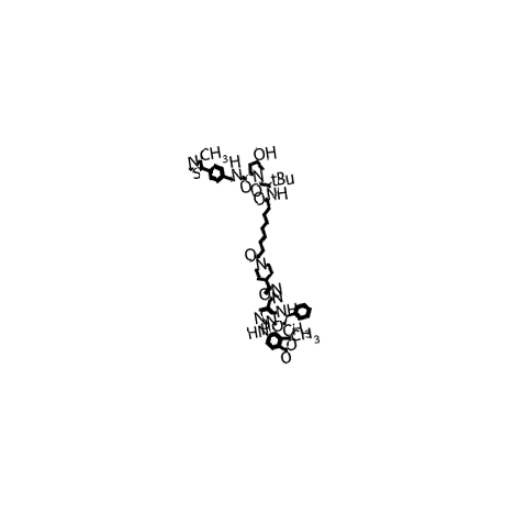 Cc1ncsc1-c1ccc(CNC(=O)[C@@H]2C[C@@H](O)CN2C(=O)[C@@H](NC(=O)CCCCCCCC(=O)N2CCC(c3nnc(-c4cnc(Nc5ccc6c(c5)C(C)(C)OC6=O)nc4N[C@H](CO)c4ccccc4)o3)CC2)C(C)(C)C)cc1